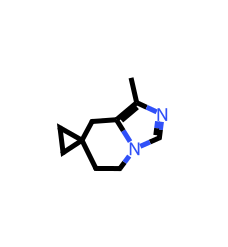 Cc1ncn2c1CC1(CC2)CC1